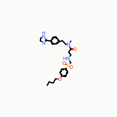 CCCCOc1ccc(S(=O)(=O)CNCCC(=O)N(C)CCc2ccc(C3=NCCN3)cc2)cc1